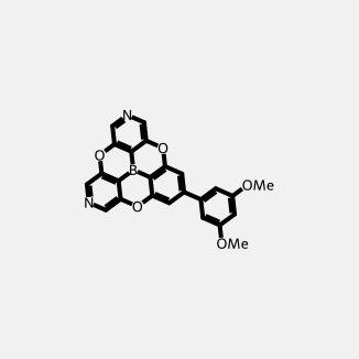 COc1cc(OC)cc(-c2cc3c4c(c2)Oc2cncc5c2B4c2c(cncc2O3)O5)c1